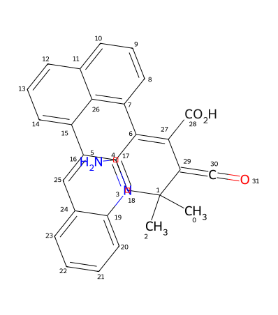 CC1(C)C=C(N)C(c2cccc3cccc(-c4cnc5ccccc5c4)c23)=C(C(=O)O)C1=C=O